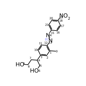 Cc1cc(C(CO)CCO)ccc1/N=N/c1ccc([N+](=O)[O-])cc1